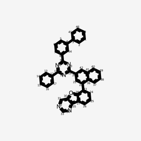 c1ccc(-c2cccc(-c3nc(-c4ccccc4)nc(-c4cc(-c5cccc6c5oc5cncnc56)c5ccccc5c4)n3)c2)cc1